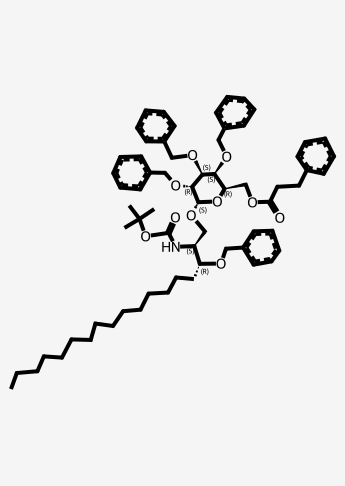 CCCCCCCCCCCCCCC[C@@H](OCc1ccccc1)[C@H](CO[C@H]1O[C@H](COC(=O)CCc2ccccc2)[C@H](OCc2ccccc2)[C@H](OCc2ccccc2)[C@H]1OCc1ccccc1)NC(=O)OC(C)(C)C